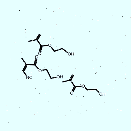 C=C(C)C(=O)OCCO.C=C(C)C(=O)OCCO.[C-]#[N+]C=C(C)C(=O)OCCO